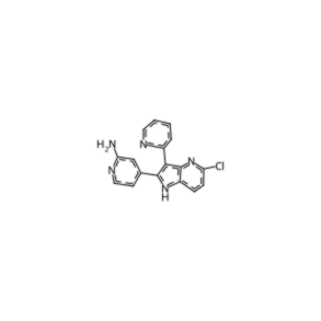 Nc1cc(-c2[nH]c3ccc(Cl)nc3c2-c2ccccn2)ccn1